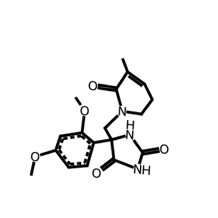 COc1ccc(C2(CN3CCC=C(C)C3=O)NC(=O)NC2=O)c(OC)c1